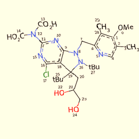 COc1c(C)cnc(CN2c3nc(N(C(=O)O)C(=O)O)nc(Cl)c3C(CC(O)CO)(C(C)(C)C)N2C(C)(C)C)c1C